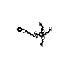 CN(CCCCCCOCc1ccccc1)C(=O)C1=C[C@@H](OCCC#N)[C@@H](OCCC#N)[C@H](OCCC#N)C1